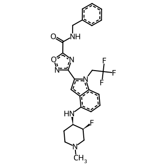 CN1CC[C@@H](Nc2cccc3c2cc(-c2noc(C(=O)NCc4ccccc4)n2)n3CC(F)(F)F)[C@@H](F)C1